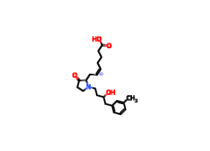 Cc1cccc(CC(O)CCN2CCC(=O)C2C/C=C\CCCC(=O)O)c1